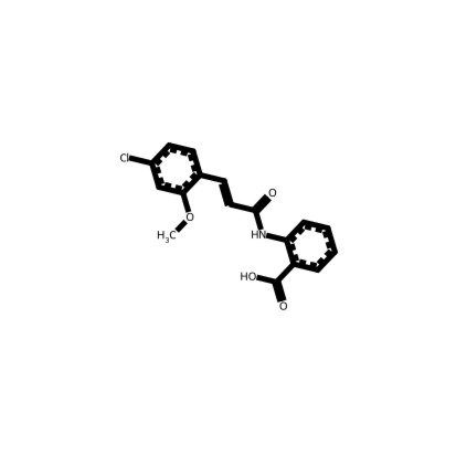 COc1cc(Cl)ccc1/C=C/C(=O)Nc1ccccc1C(=O)O